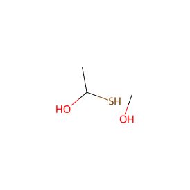 CC(O)S.CO